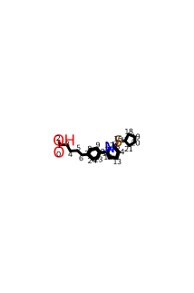 O=C(O)CCCCc1ccc(-c2cccc(SC3CCCC3)n2)cc1